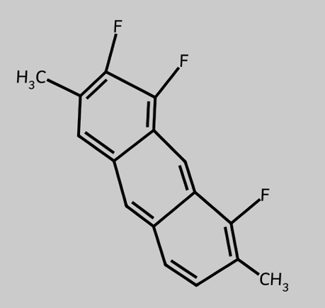 Cc1cc2cc3ccc(C)c(F)c3cc2c(F)c1F